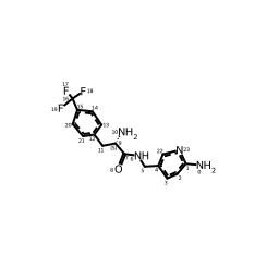 Nc1ccc(CNC(=O)[C@@H](N)Cc2ccc(C(F)(F)F)cc2)cn1